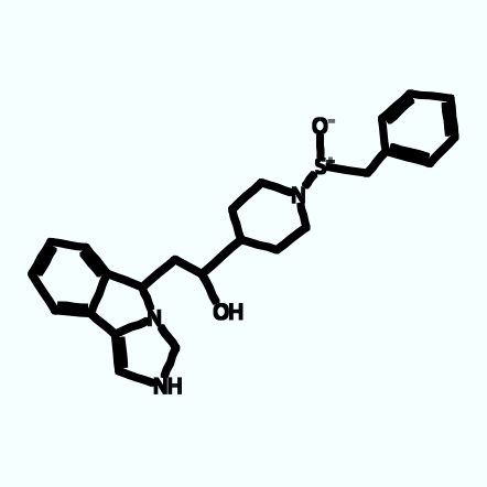 [O-][S+](Cc1ccccc1)N1CCC(C(O)CC2c3ccccc3C3=CNCN32)CC1